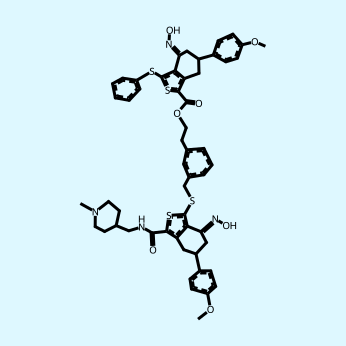 COc1ccc(C2C/C(=N\O)c3c(SCc4cccc(CCOC(=O)c5sc(Sc6ccccc6)c6c5CC(c5ccc(OC)cc5)C/C6=N\O)c4)sc(C(=O)NCC4CCN(C)CC4)c3C2)cc1